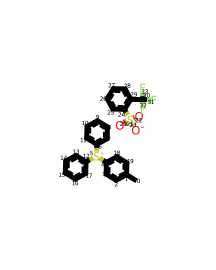 Cc1ccc([S+](c2ccccc2)c2ccccc2)cc1.O=S(=O)([O-])c1ccccc1C(F)(F)F